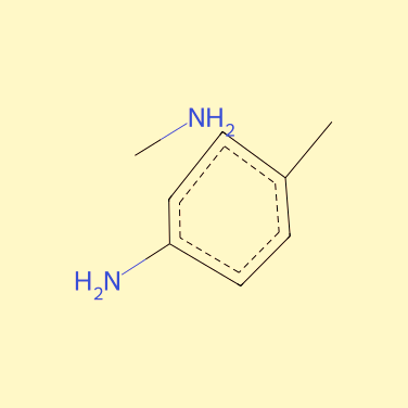 CN.Cc1ccc(N)cc1